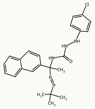 CC(C)(C)N=NC(C)(NC(=O)NNc1ccc(Cl)cc1)c1ccc2ccccc2c1